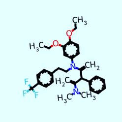 C=C(C(C(=C)N(CCc1ccc(C(F)(F)F)cc1)c1ccc(OCC)c(OCC)c1)c1ccccc1)N(C)C